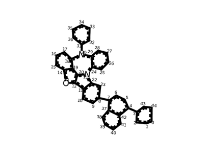 c1ccc(-c2ccc(-c3ccc4c5oc6cccc7c6c5n(c4c3)c3ccccc3n7-c3ccccc3)c3ccccc23)cc1